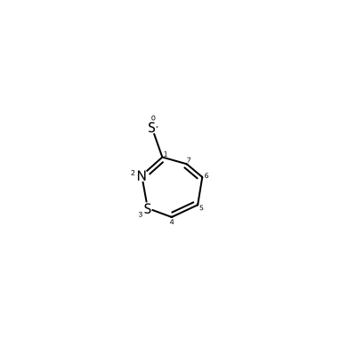 [S]C1=NSC=CC=C1